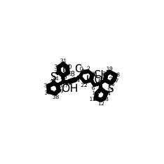 CC1=CC(C)=C(CC2(O)c3ccccc3Sc3ccccc32)CC1C#CC1(O)c2ccccc2Sc2ccccc21